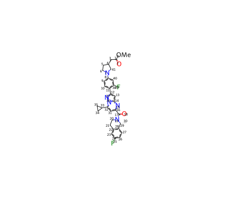 COC(=O)C[C@@H]1CCN(c2ccc(-c3cc4nc(C(=O)N5CCc6cc(F)ccc6[C@H]5C)cc(C5CC5)n4n3)c(F)c2)C1